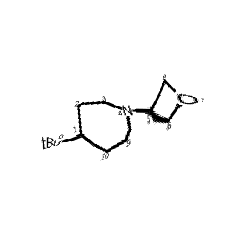 CC(C)(C)C1CCN(C2COC2)CC1